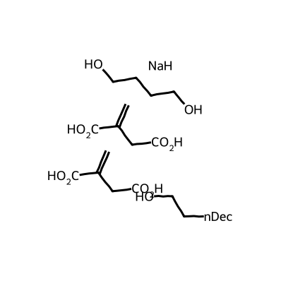 C=C(CC(=O)O)C(=O)O.C=C(CC(=O)O)C(=O)O.CCCCCCCCCCCCO.OCCCCO.[NaH]